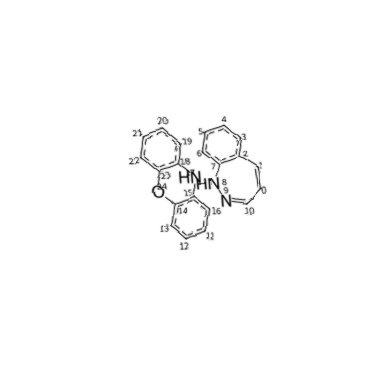 C1=Cc2ccccc2NN=C1.c1ccc2c(c1)Nc1ccccc1O2